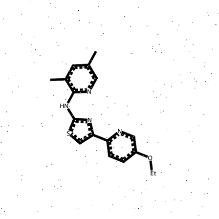 CCOc1ccc(-c2csc(Nc3ncc(C)cc3C)n2)nc1